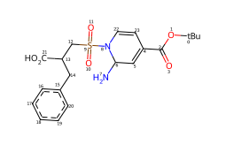 CC(C)(C)OC(=O)C1=CC(N)N(S(=O)(=O)CC(Cc2ccccc2)C(=O)O)C=C1